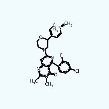 C=N/C=C\C(=C/C)C1CN(c2cc3nc(C)n(C)c(=O)c3c(-c3ccc(Cl)cc3F)n2)CCO1